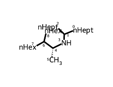 CCCCCCCC(CCCCCCC)N[C@H](C)C(CCCCCC)CCCCCC